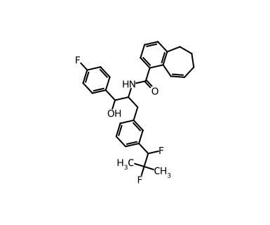 CC(C)(F)C(F)c1cccc(CC(NC(=O)c2cccc3c2C=CCCC3)C(O)c2ccc(F)cc2)c1